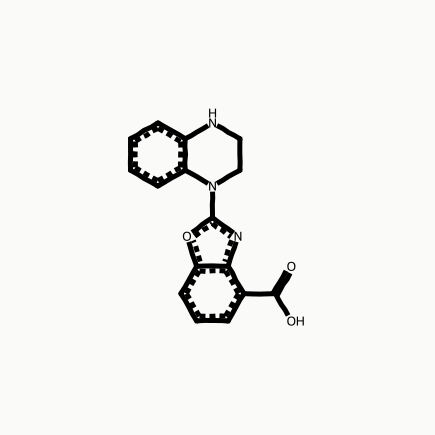 O=C(O)c1cccc2oc(N3CCNc4ccccc43)nc12